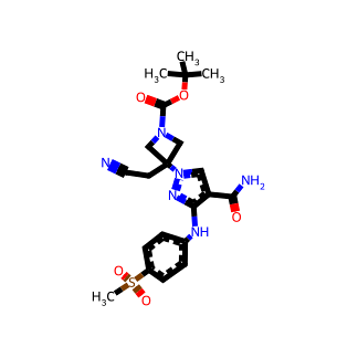 CC(C)(C)OC(=O)N1CC(CC#N)(n2cc(C(N)=O)c(Nc3ccc(S(C)(=O)=O)cc3)n2)C1